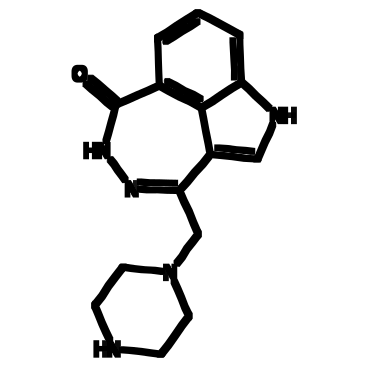 O=C1NN=C(CN2CCNCC2)c2c[nH]c3cccc1c23